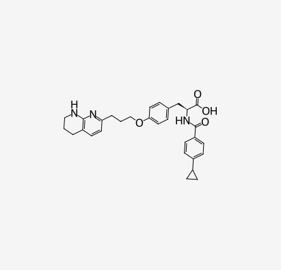 O=C(N[C@@H](Cc1ccc(OCCCc2ccc3c(n2)NCCC3)cc1)C(=O)O)c1ccc(C2CC2)cc1